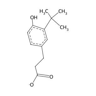 CC(C)(C)c1cc(CCC([O])=O)ccc1O